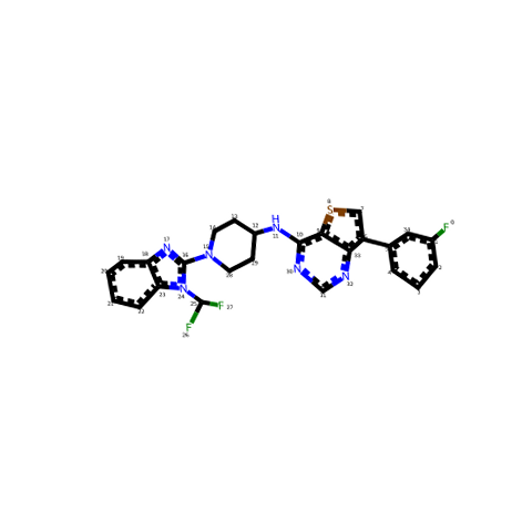 Fc1cccc(-c2csc3c(NC4CCN(c5nc6ccccc6n5C(F)F)CC4)ncnc23)c1